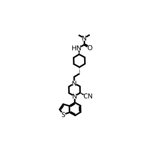 CN(C)C(=O)N[C@H]1CC[C@H](CCN2CCN(c3cccc4sccc34)[C@H](C#N)C2)CC1